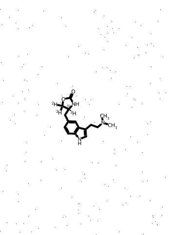 [2H]C1([2H])OC(=O)N[C@@]1([2H])Cc1ccc2[nH]cc(CCN(C)C)c2c1